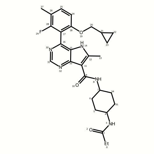 CCC(=O)NC1CCC(NC(=O)c2c(C)[nH]c3c(-c4c(OCC5CC5)ccc(C)c4F)ncnc23)CC1